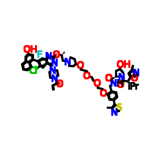 C=CC(=O)N1CCN(c2nc(O[C@H](C)CN3CCC(OCCOCCOCCOc4cc(-c5scnc5C)ccc4CNC(=O)[C@@H]4C[C@@H](O)CN4C(=O)[C@H](c4cc(C)no4)C(C)C)CC3)nc3c(F)c(-c4cc(O)cc5ccccc45)c(Cl)cc23)CC1